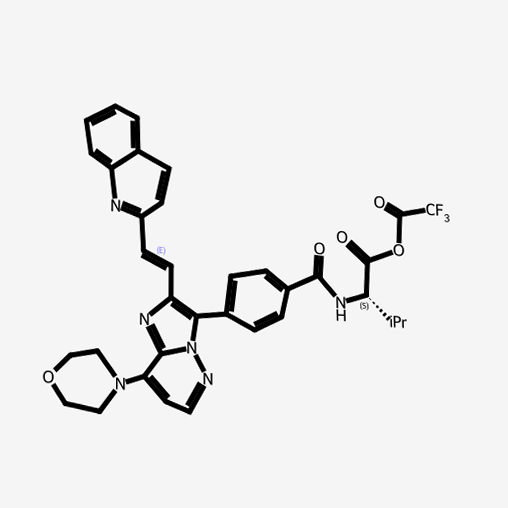 CC(C)[C@H](NC(=O)c1ccc(-c2c(/C=C/c3ccc4ccccc4n3)nc3c(N4CCOCC4)ccnn23)cc1)C(=O)OC(=O)C(F)(F)F